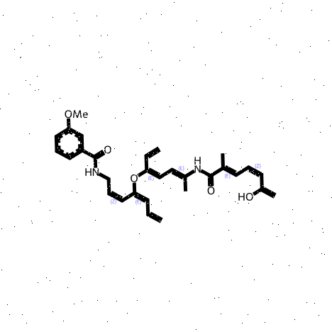 C=C/C=C(\C=C/CNC(=O)c1cccc(OC)c1)O/C(C=C)=C/C=C(\C)NC(=O)/C(C)=C/C=C\C(=C)O